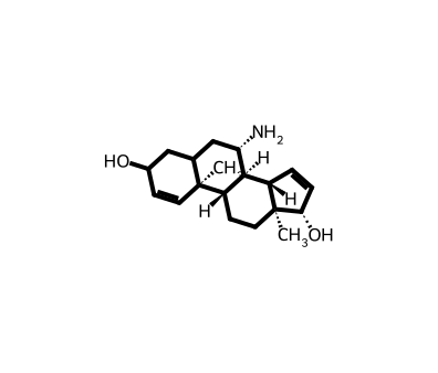 C[C@]12CC[C@H]3[C@@H]([C@@H](N)CC4CC(O)C=C[C@@]43C)[C@@H]1C=C[C@@H]2O